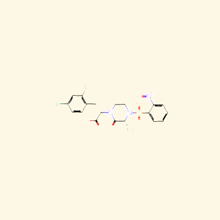 C[C@H]1C(=O)N([C@@H](Cc2ccc(Br)cc2F)C(=O)O)CCN1S(=O)(=O)c1ccccc1[N+](=O)[O-]